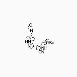 Cc1cc(Nc2nccc(-c3cc(C#N)c4c(c3)[C@@](C)(CO[Si](C)(C)C(C)(C)C)CN4)n2)c(=O)n(CCN2CCCOCC2)c1